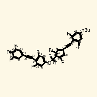 CCCCc1cc(F)c(C#Cc2cc(F)c(C(F)(F)Oc3cc(F)c(C#Cc4cc(F)c(F)c(F)c4)c(F)c3)c(F)c2)c(F)c1